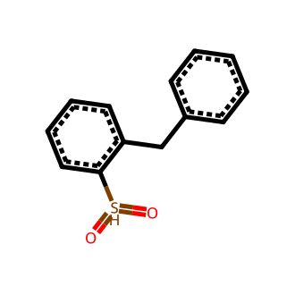 O=[SH](=O)c1ccccc1Cc1ccccc1